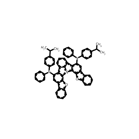 CC(C)c1ccc(N(c2ccccc2)c2cc3c4ccccc4oc3c3c2c2cccc4c5c(N(c6ccccc6)c6ccc(C(C)C)cc6)cc6c7ccccc7oc6c5n3c24)cc1